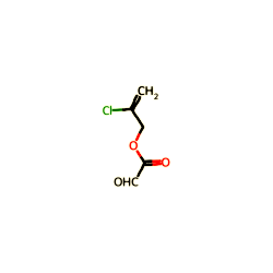 C=C(Cl)COC(=O)C=O